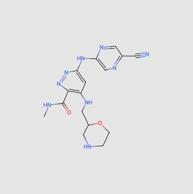 CNC(=O)c1nnc(Nc2cnc(C#N)cn2)cc1NCC1CNCCO1